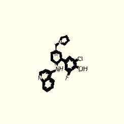 Oc1c(F)cc(C2C[C@H](CN3CCCC3)CC[C@H]2Nc2[c]cnc3ccccc23)cc1Cl